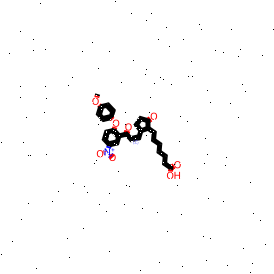 COc1ccc(Oc2ccc([N+](=O)[O-])cc2C(=O)/C=C\C2CCC(=O)C2CCCCCCC(=O)O)cc1